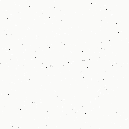 O[C@@H]1CCN(c2cc(F)c(-c3ccc4[nH]c(O[C@@H]5CO[C@H]6[C@@H]5OC[C@H]6O)cc4n3)c(F)c2)C1